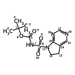 CC(C)(C)OC(=O)NS(=O)(=O)N1CCc2cncnc21